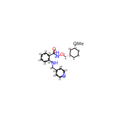 CO[C@@H]1CCC[C@H](CONC(=O)c2ccccc2NCc2ccncc2)C1